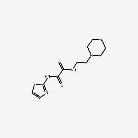 O=C(NCCN1CCCCC1)C(=O)Nc1nccs1